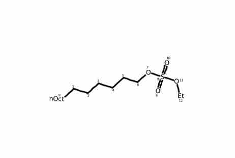 CCCCCCCCCCCCCCOS(=O)(=O)OCC